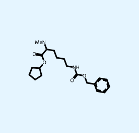 CNC(CCCCNC(=O)OCc1ccccc1)C(=O)OC1CCCC1